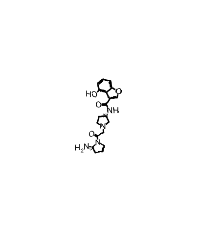 N[C@@H]1CCCN1C(=O)CN1CC[C@H](NC(=O)c2coc3cccc(O)c23)C1